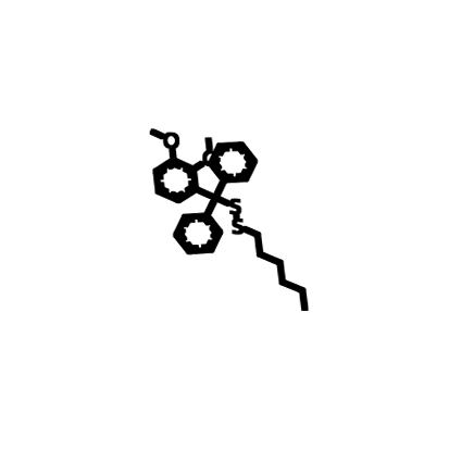 CCCCCCSSC(c1ccccc1)(c1ccccc1)c1cccc(OC)c1OC